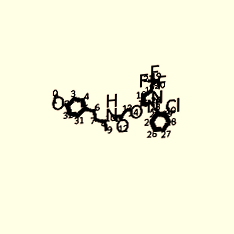 COc1ccc(CCC(C)NC(=O)COc2cc(C(F)(F)F)nn2-c2ccccc2Cl)cc1